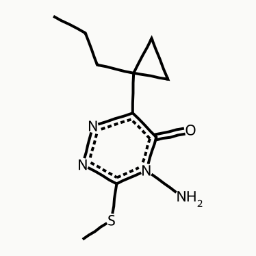 CCCC1(c2nnc(SC)n(N)c2=O)CC1